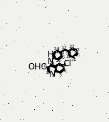 O=Cc1cnc2ccc(Cl)cc2c1Nc1ccc(Cc2ccccc2)cc1